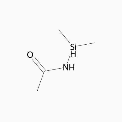 CC(=O)N[SiH](C)C